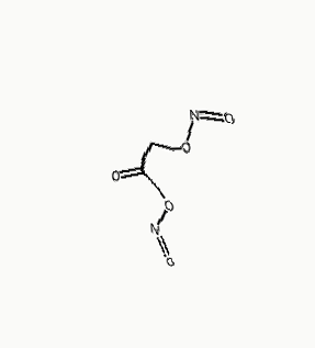 O=NOCC(=O)ON=O